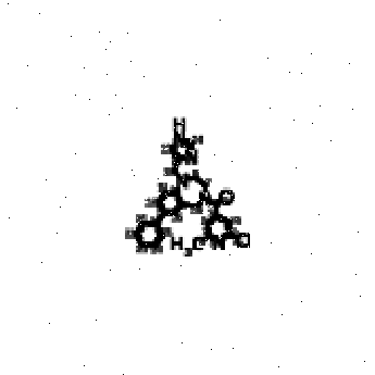 Cc1cc(C(=O)N2CCN(Cc3c[nH]cn3)c3ccc(-c4ccccc4)cc3C2)cc(Cl)n1